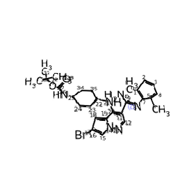 Cc1cccc(C)c1/N=C(\N)c1cnn2cc(Br)cc2c1N[C@H]1CC[C@H](NC(=O)OC(C)(C)C)CC1